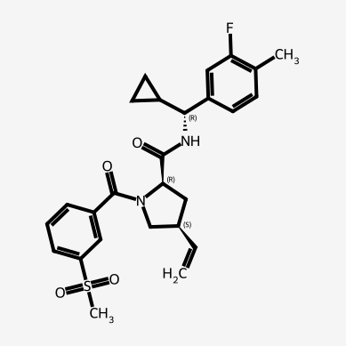 C=C[C@@H]1C[C@H](C(=O)N[C@@H](c2ccc(C)c(F)c2)C2CC2)N(C(=O)c2cccc(S(C)(=O)=O)c2)C1